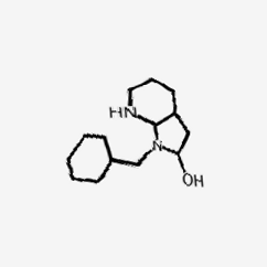 OC1CC2CCCNC2N1CC1CCCCC1